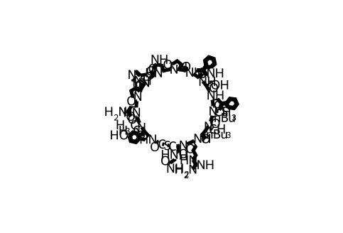 CCCC[C@H]1C(=O)N(C)[C@@H](CCCC)C(=O)N[C@@H](CCCNC(=N)N)C(=O)NC(C(=O)NCC(N)=O)CSCC(=O)N[C@@H](Cc2ccc(O)cc2)C(=O)N(C)[C@@H](C)C(=O)N[C@@H](CC(N)=O)C(=O)N2CCC[C@H]2C(=O)N[C@@H](Cc2cnc[nH]2)C(=O)NC(CC(N)=O)C(=O)N2CCC[C@H]2C(=O)N[C@@H](Cc2c[nH]c3ccccc23)C(=O)N[C@@H](CO)C(=O)N[C@@H](Cc2csc3ccccc23)C(=O)N1C